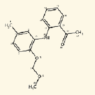 COCOc1ccc(C)cc1Pc1ccccc1C(C)=O